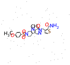 COc1ccc(S(=O)(=O)N2CCc3c(n(C)c4c(=O)n(Cc5ccsc5C(N)=O)ncc34)C2)cc1